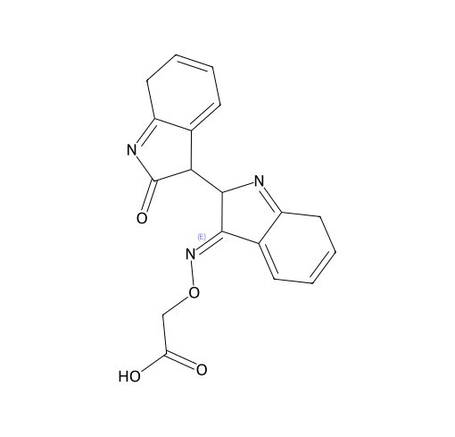 O=C(O)CO/N=C1\C2=CC=CCC2=NC1C1C(=O)N=C2CC=CC=C21